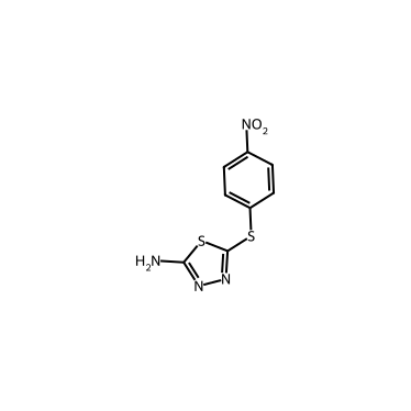 Nc1nnc(Sc2ccc([N+](=O)[O-])cc2)s1